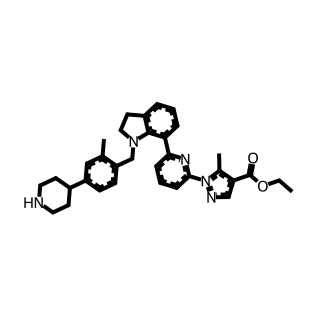 CCOC(=O)c1cnn(-c2cccc(-c3cccc4c3N(Cc3ccc(C5CCNCC5)cc3C)CC4)n2)c1C